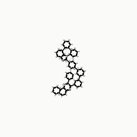 c1ccc(-c2nc3c(ccc4ccccc43)nc2-c2cccc(-c3cccc(-c4ccc(-c5nc6cccc7c6n5-c5ccccc5-c5ccccc5-7)cc4)c3)c2)cc1